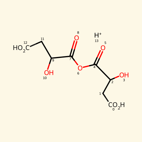 O=C(O)CC(O)C(=O)OC(=O)C(O)CC(=O)O.[H+]